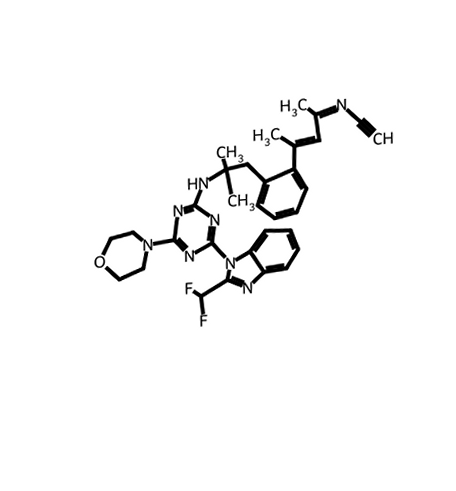 C#C/N=C(C)\C=C(/C)c1ccccc1CC(C)(C)Nc1nc(N2CCOCC2)nc(-n2c(C(F)F)nc3ccccc32)n1